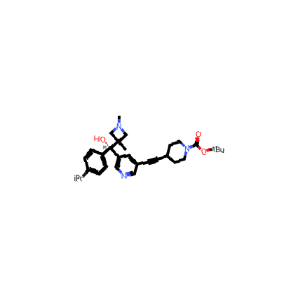 CC(C)c1ccc([C@](O)(c2cncc(C#CC3CCN(C(=O)OC(C)(C)C)CC3)c2)C2(C)CN(C)C2)cc1